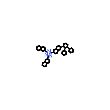 c1ccc(-c2cccc(-c3ccc4cc(-c5nc(-c6ccc7ccccc7c6)nc(-c6ccc7ccccc7c6)n5)ccc4c3)c2-c2ccccc2)cc1